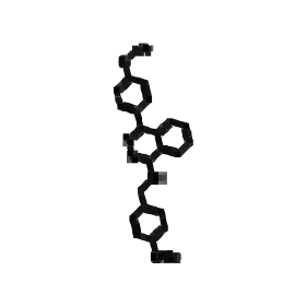 CCCOc1ccc(-c2nnc(NCc3ccc(OC)cc3)c3ccccc23)cc1